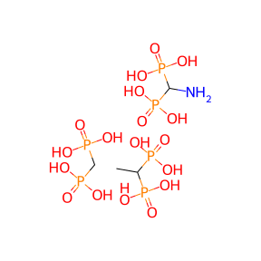 CC(P(=O)(O)O)P(=O)(O)O.NC(P(=O)(O)O)P(=O)(O)O.O=P(O)(O)CP(=O)(O)O